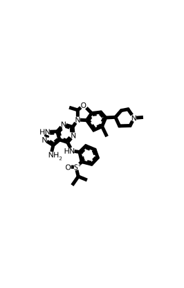 Cc1cc2c(cc1C1CCN(C)CC1)OC(C)N2c1nc(Nc2ccccc2[S+]([O-])C(C)C)c2c(N)n[nH]c2n1